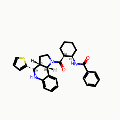 O=C(N[C@@H]1CCCC[C@@H]1C(=O)N1CC[C@H]2[C@@H](c3cccs3)Nc3ccccc3[C@H]21)c1ccccc1